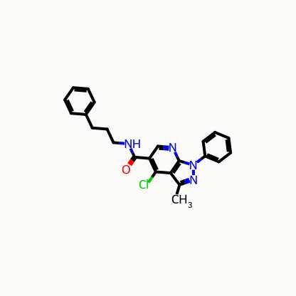 Cc1nn(-c2ccccc2)c2ncc(C(=O)NCCCc3ccccc3)c(Cl)c12